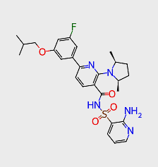 CC(C)COc1cc(F)cc(-c2ccc(C(=O)NS(=O)(=O)c3cccnc3N)c(N3[C@H](C)CC[C@@H]3C)n2)c1